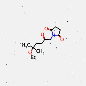 CCOC(C)(C)CCC(=O)CN1C(=O)CCC1=O